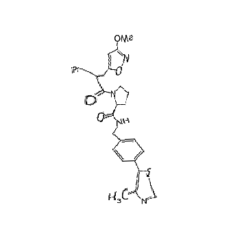 COc1cc(C(C(=O)N2CCC[C@H]2C(=O)NCc2ccc(-c3scnc3C)cc2)C(C)C)on1